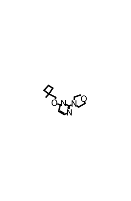 CC1(COc2ccnc(N3CCOCC3)n2)CCC1